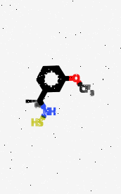 C[C@@H](NS)c1cccc(OC(F)(F)F)c1